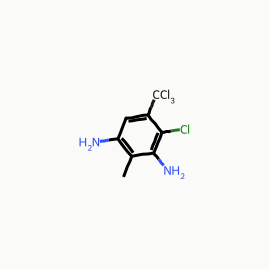 Cc1c(N)cc(C(Cl)(Cl)Cl)c(Cl)c1N